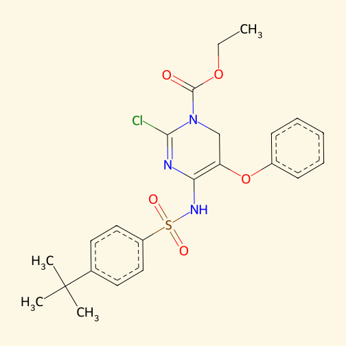 CCOC(=O)N1CC(Oc2ccccc2)=C(NS(=O)(=O)c2ccc(C(C)(C)C)cc2)N=C1Cl